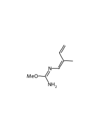 C=C/C(C)=C\N=C(/N)OC